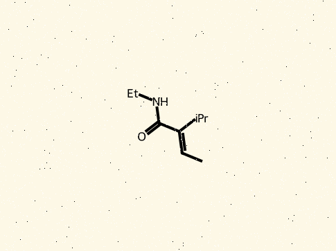 C/C=C(/C(=O)NCC)C(C)C